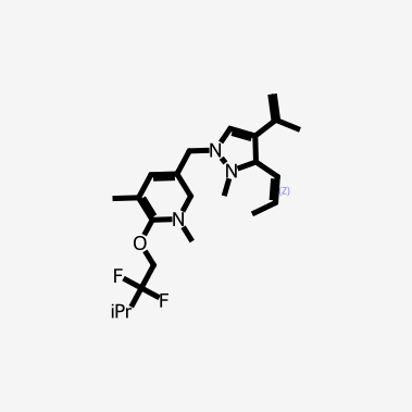 C=C(C)C1=CN(CC2=CC(C)=C(OCC(F)(F)C(C)C)N(C)C2)N(C)C1/C=C\C